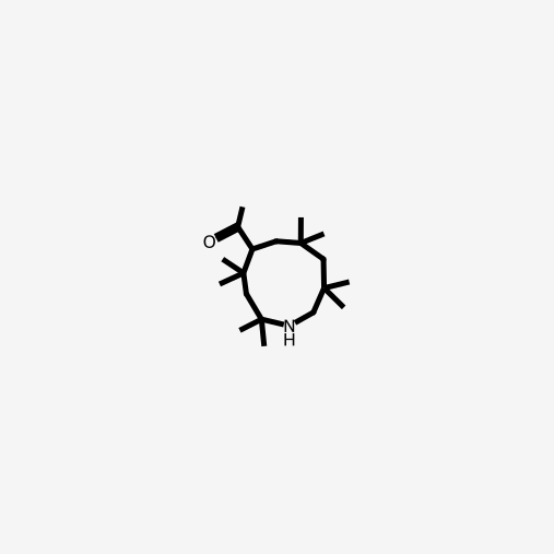 CC(=O)C1CC(C)(C)CC(C)(C)CNC(C)(C)CC1(C)C